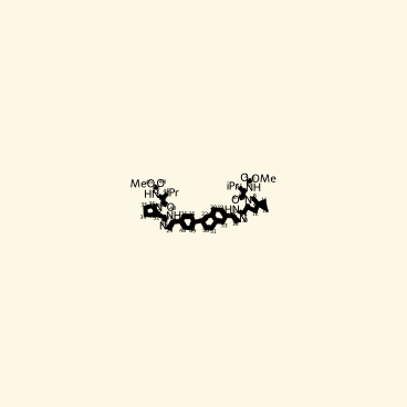 COC(=O)NC(C(=O)N1CC2(CC2)CC1c1ncc(-c2ccc3cc(-c4ccc(-c5cnc(C6C7CCC(C7)N6C(=O)C(NC(=O)OC)C(C)C)[nH]5)cc4)ccc3c2)[nH]1)C(C)C